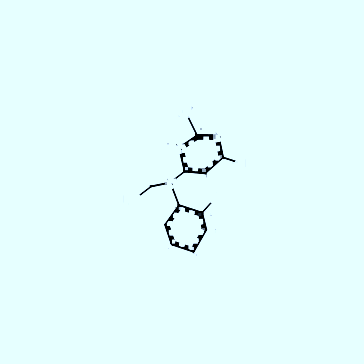 CCN(c1cc(Cl)nc(C)n1)c1ccccc1O